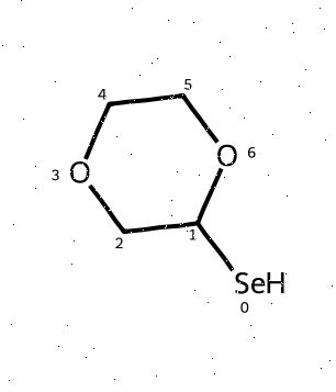 [SeH]C1COCCO1